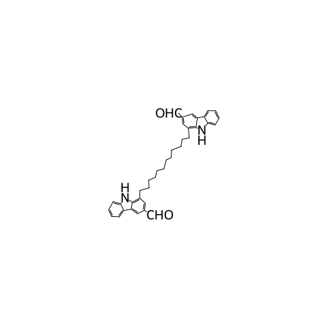 O=Cc1cc(CCCCCCCCCCCCc2cc(C=O)cc3c2[nH]c2ccccc23)c2[nH]c3ccccc3c2c1